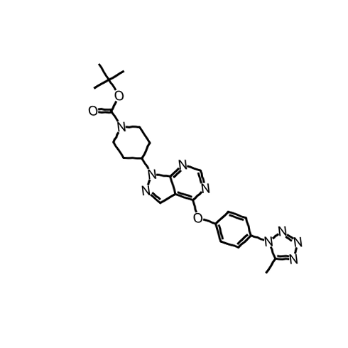 Cc1nnnn1-c1ccc(Oc2ncnc3c2cnn3C2CCN(C(=O)OC(C)(C)C)CC2)cc1